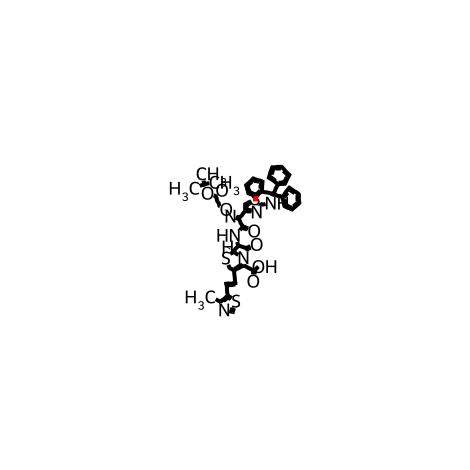 Cc1ncsc1C=CC1=C(C(=O)O)N2C(=O)C(NC(=O)C(=NOCC(=O)OC(C)(C)C)c3csc(NC(c4ccccc4)(c4ccccc4)c4ccccc4)n3)[C@@H]2SC1